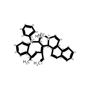 C=CC1=C(\C2c3ccc4ccccc4c3C=CN2C)C(C)N(c2ccccc2)c2ccccc2\C(C)=C\1